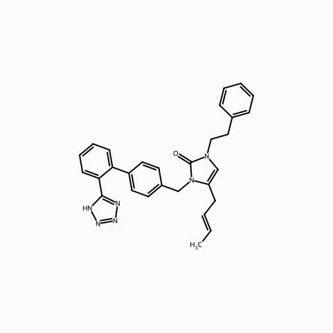 CC=CCc1cn(CCc2ccccc2)c(=O)n1Cc1ccc(-c2ccccc2-c2nnn[nH]2)cc1